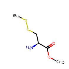 CC(C)(C)SSC[C@H](N)C(=O)OC=O